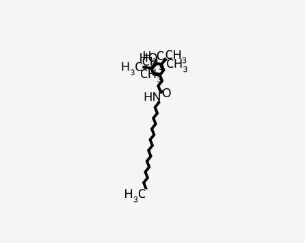 CCCCCCCCCCCCCCCCCCNC(=O)CCc1cc(C(C)(C)C)c(O)c(C(C)(C)C)c1